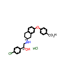 Cl.O=C(O)c1ccc(Oc2ccc3c(c2)C[C@@H](NC[C@@H](O)c2ccc(Cl)cc2)CC3)cc1